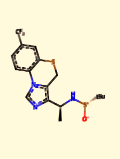 C[C@H](N[S@@+]([O-])C(C)(C)C)c1ncn2c1CSc1cc(C(F)(F)F)ccc1-2